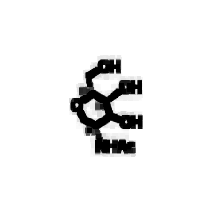 CC(=O)N[C@@H]1CO[C@H](CO)[C@@H](O)[C]1O